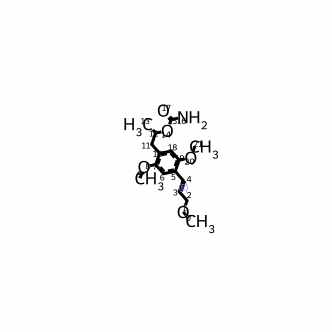 COC/C=C/c1cc(OC)c(CC(C)OC(N)=O)cc1OC